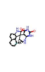 O=C1Nc2ccc3ccccc3c2C12c1cc(F)ccc1Nc1[nH]c(=O)[nH]c(=O)c12